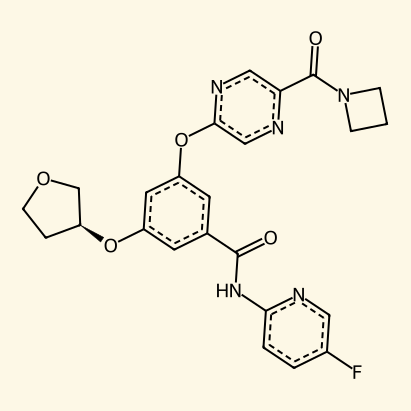 O=C(Nc1ccc(F)cn1)c1cc(Oc2cnc(C(=O)N3CCC3)cn2)cc(O[C@H]2CCOC2)c1